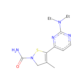 CCN(CC)c1nccc(C2=C(C)CN(C(N)=O)S2)n1